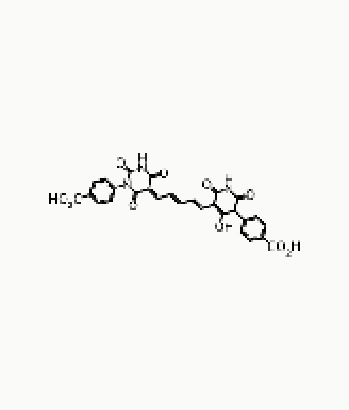 O=C1NC(=O)C(c2ccc(C(=O)O)cc2)C(O)=C1/C=C/C=C/C=C1\C(=O)NC(=O)N(c2ccc(C(=O)O)cc2)C1=O